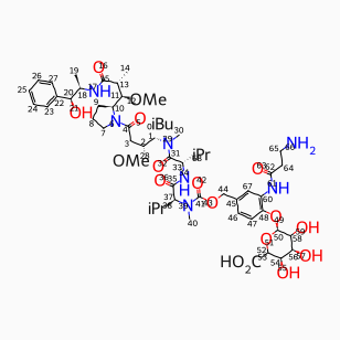 CC[C@H](C)[C@@H]([C@@H](CC(=O)N1CCC[C@H]1[C@H](OC)[C@@H](C)C(=O)N[C@H](C)[C@@H](O)c1ccccc1)OC)N(C)C(=O)[C@@H](NC(=O)[C@H](C(C)C)N(C)C(=O)OCc1ccc(O[C@@H]2OC(C(=O)O)[C@H](O)[C@H](O)C2O)c(NC(=O)CCN)c1)C(C)C